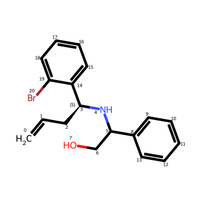 C=CC[C@H](NC(CO)c1ccccc1)c1ccccc1Br